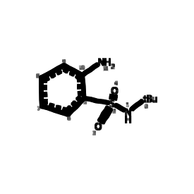 CC(C)(C)NS(=O)(=O)c1ccccc1N